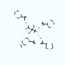 O=C(O)CO.OCC(CO)(C(O)SSC(=S)C1CNCCO1)C(OSSC(=S)C1CNCCO1)(SSC(=S)C1CNCCO1)SSC(=S)C1CNCCO1